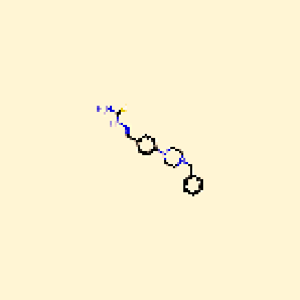 NC(=S)N/N=C/c1ccc(N2CCN(Cc3ccccc3)CC2)cc1